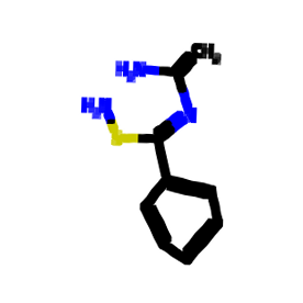 C=C(N)/N=C(\SN)c1ccccc1